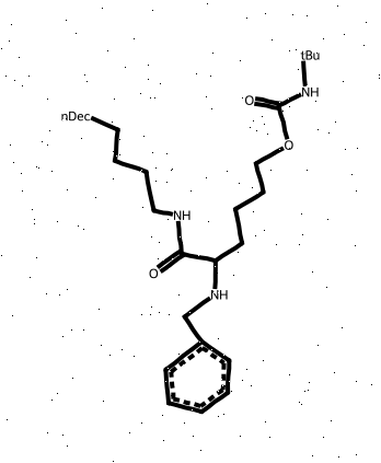 CCCCCCCCCCCCCCNC(=O)C(CCCCOC(=O)NC(C)(C)C)NCc1ccccc1